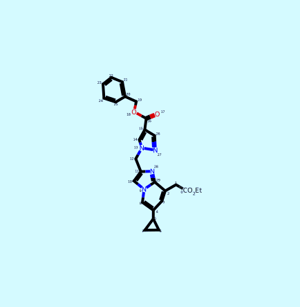 CCOC(=O)Cc1cc(C2CC2)cn2cc(Cn3cc(C(=O)OCc4ccccc4)cn3)nc12